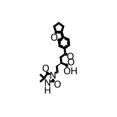 CC1(C)NC(=O)N(CC[C@@H](CC(=O)c2ccc3c4c(oc3c2)CCC4)C(=O)O)C1=O